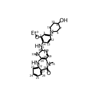 CCOc1cc(N2CCC(O)CC2)ccc1NC1N=CC2=C(Nc3ccccc3C(=O)N2C)N1C